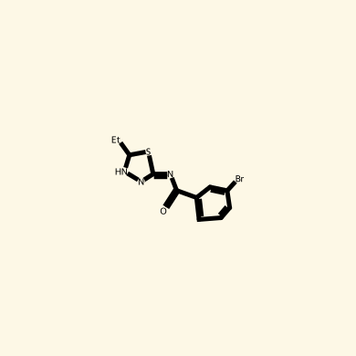 CCC1N[N]C(=NC(=O)c2cccc(Br)c2)S1